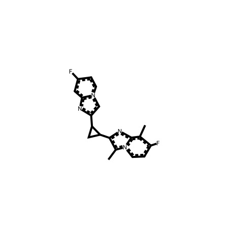 Cc1c(F)ccn2c(C)c(C3CC3c3cn4ccc(F)cc4n3)nc12